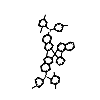 Cc1ccc(N(c2ccc3cc4c(cc3c2)C2(c3cc5cc(N(c6ccc(C)cc6)c6cc(C)ccc6C)ccc5cc3-4)c3ccccc3-c3c2ccc2ccccc32)c2cc(C)ccc2C)cc1